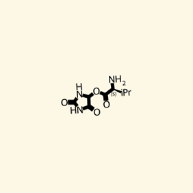 CC(C)[C@H](N)C(=O)OC1NC(=O)NC1=O